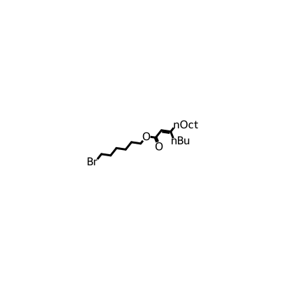 CCCCCCCC/C(=C/C(=O)OCCCCCCBr)CCCC